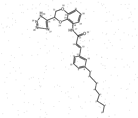 CCCCCCCCc1cccc(/C=C/C(=O)Nc2cccc3c2OC(c2nnn[nH]2)CO3)c1